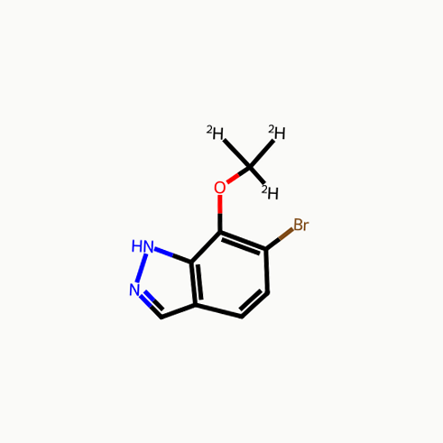 [2H]C([2H])([2H])Oc1c(Br)ccc2cn[nH]c12